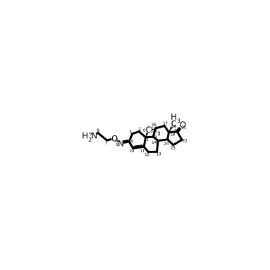 C[C@]12CCC(=NOCCN)C=C1CCC1C2CC[C@]2(C)C(=O)CCC12